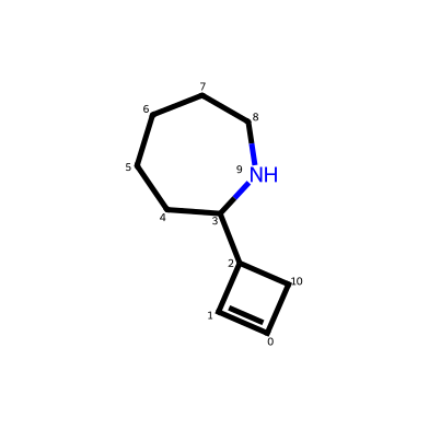 C1=CC(C2CCCCCN2)C1